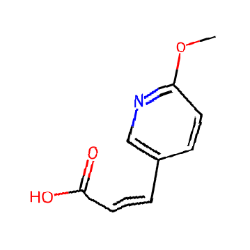 COc1ccc(/C=C\C(=O)O)cn1